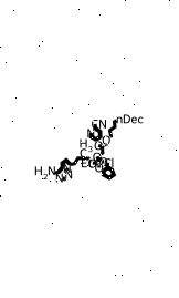 CCCCCCCCCCCCCCOC[C@H](COP(=O)(OC[C@@](C)(CC)CCc1ccc2c(N)ncnn12)Oc1ccccc1Cl)Oc1ccc(C#N)nc1